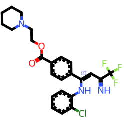 N=C(/C=C(\Nc1ccccc1Cl)c1ccc(C(=O)OCCN2CCCCC2)cc1)C(F)(F)F